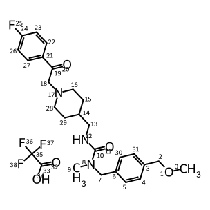 COCc1ccc(CN(C)C(=O)NCC2CCN(CC(=O)c3ccc(F)cc3)CC2)cc1.O=C(O)C(F)(F)F